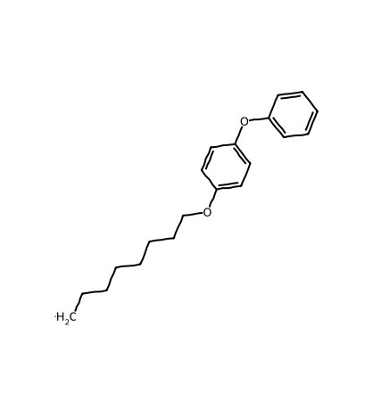 [CH2]CCCCCCCOc1ccc(Oc2ccccc2)cc1